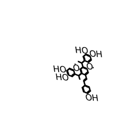 COc1cc(/C=C/c2ccc(O)cc2)c(C(C)c2ccc(O)c(O)c2)c(OC)c1C(C)c1ccc(O)c(O)c1